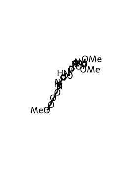 COCCOCCOCCOCCn1cc(-c2ccc(NC(=O)N3CCC(N4CCN(Cc5cc(OC)ccc5OC)C4=O)CC3)cc2)nn1